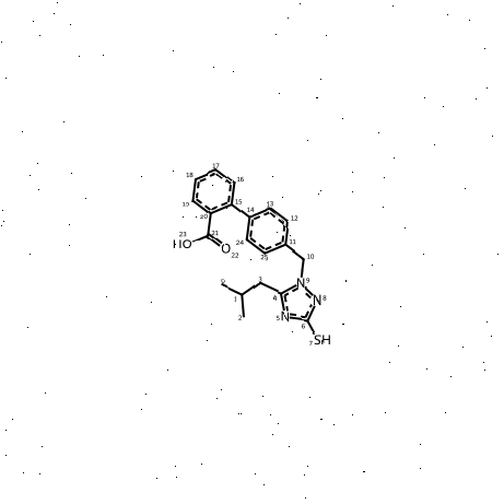 CC(C)Cc1nc(S)nn1Cc1ccc(-c2ccccc2C(=O)O)cc1